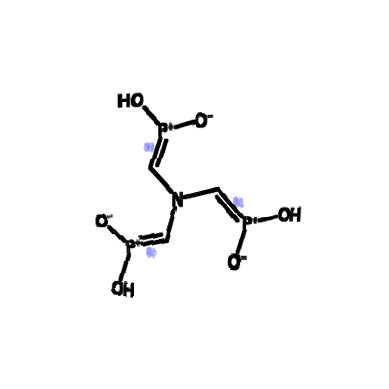 [O-]/[P+](O)=C\N(/C=[P+](\[O-])O)/C=[P+](\[O-])O